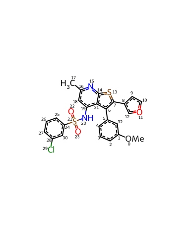 COc1cccc(-c2c(-c3ccoc3)sc3nc(C)cc(NS(=O)(=O)c4cccc(Cl)c4)c23)c1